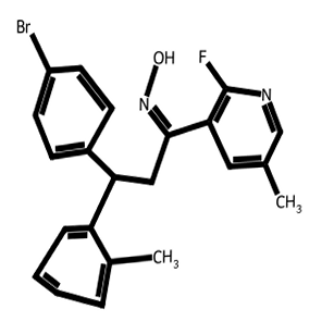 Cc1cnc(F)c(C(CC(c2ccc(Br)cc2)c2ccccc2C)=NO)c1